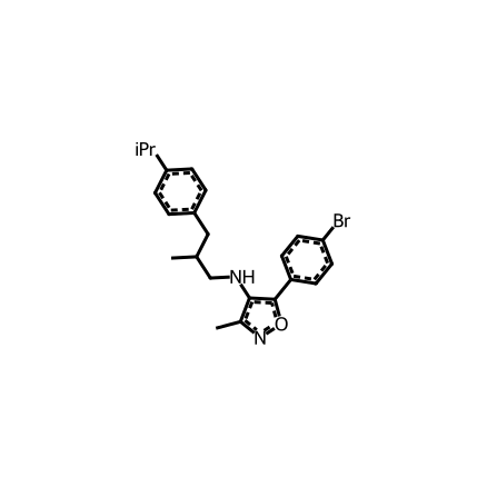 Cc1noc(-c2ccc(Br)cc2)c1NCC(C)Cc1ccc(C(C)C)cc1